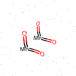 [O]=[Mn]=[O].[O]=[Mn]=[O]